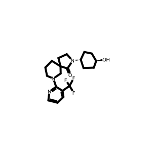 O=C1N([C@H]2CC[C@H](O)CC2)CCC12CCCN(c1ncccc1C(F)(F)F)C2